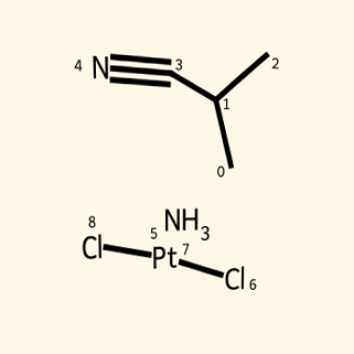 CC(C)C#N.N.[Cl][Pt][Cl]